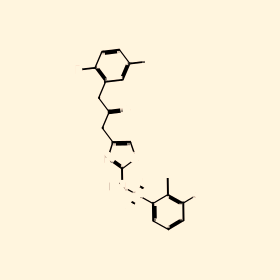 Cc1c(Cl)cccc1S(=O)(=O)Nc1nc(CC(=O)Cc2cc(F)ccc2F)cs1